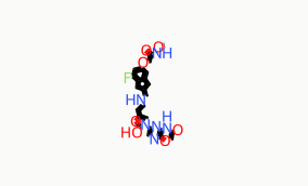 CONC(=O)COc1cc(F)c2c(c1)CC(CNCCC1CN(c3cnc4c(n3)NC(=O)CO4)C(O)O1)C2